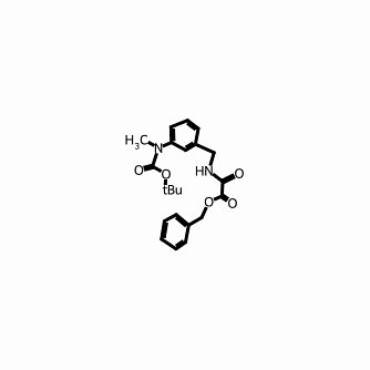 CN(C(=O)OC(C)(C)C)c1cccc(CNC(=O)C(=O)OCc2ccccc2)c1